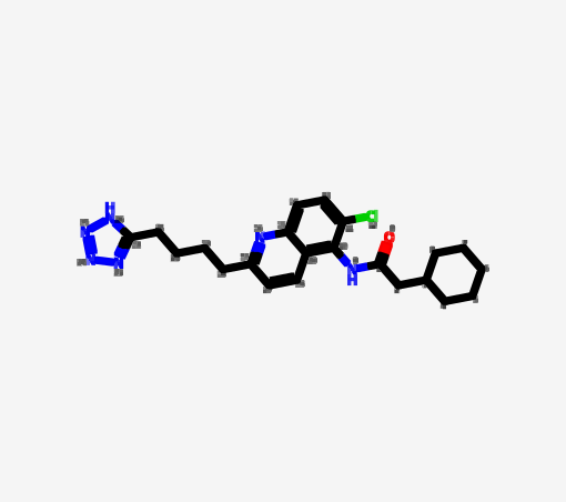 O=C(CC1CCCCC1)Nc1c(Cl)ccc2nc(CCCCc3nnn[nH]3)ccc12